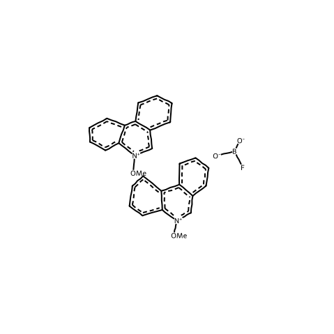 CO[n+]1cc2ccccc2c2ccccc21.CO[n+]1cc2ccccc2c2ccccc21.[O-]B([O-])F